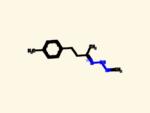 C=NN/N=C(\C)CCc1ccc(C)cc1